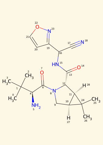 CC(C)(C)[C@H](N)C(=O)N1C[C@H]2[C@@H]([C@H]1C(=O)NC(C#N)c1ccon1)C2(C)C